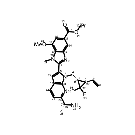 C=C[C@@H]1[C@@H](Cn2c(-c3nc4cc(C(=O)OC(C)C)cc(OC)c4n3C)cc3ccc([C@@H](C)N)nc32)C1(F)F